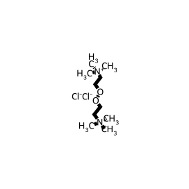 C[N+](C)(C)CCOOCC[N+](C)(C)C.[Cl-].[Cl-]